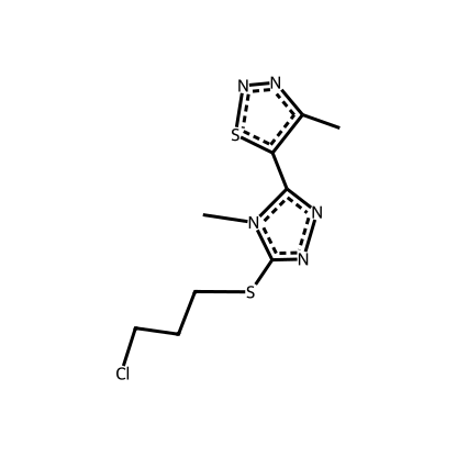 Cc1nnsc1-c1nnc(SCCCCl)n1C